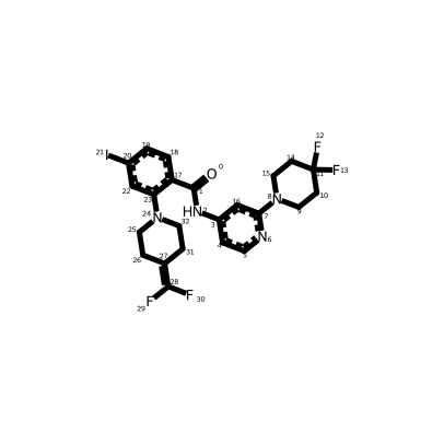 O=C(Nc1ccnc(N2CCC(F)(F)CC2)c1)c1ccc(I)cc1N1CCC(=C(F)F)CC1